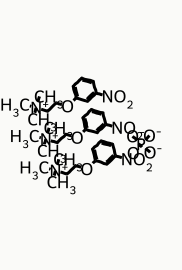 C[N+](C)(C)CCOc1cccc([N+](=O)[O-])c1.C[N+](C)(C)CCOc1cccc([N+](=O)[O-])c1.C[N+](C)(C)CCOc1cccc([N+](=O)[O-])c1.O=P([O-])([O-])[O-]